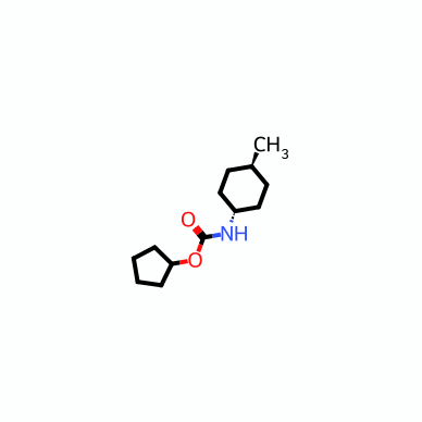 C[C@H]1CC[C@H](NC(=O)OC2CCCC2)CC1